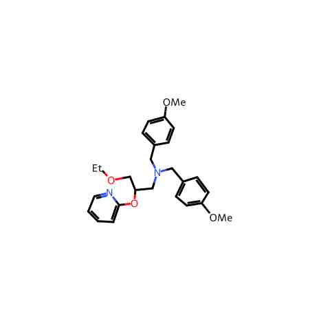 CCOCC(CN(Cc1ccc(OC)cc1)Cc1ccc(OC)cc1)Oc1ccccn1